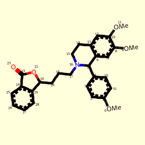 COc1ccc(C2c3cc(OC)c(OC)cc3CCN2CCCC2OC(=O)c3ccccc32)cc1